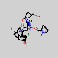 C#Cc1c(F)ccc2cc(O)cc(-c3nc4c5c(nc(OCC6CCCN6C)nc5c3F)N3CC(CO)CCC3CO4)c12